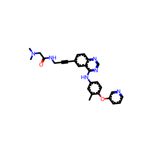 Cc1cc(Nc2ncnc3ccc(C#CCNC(=O)CN(C)C)cc23)ccc1Oc1cccnc1